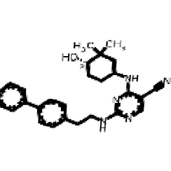 CC1(C)CC(Nc2nc(NCCc3ccc(-c4ccccc4)cc3)ncc2C#N)CC[C@@H]1O